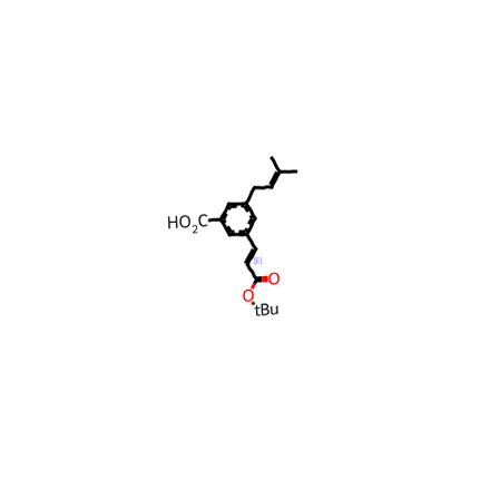 CC(C)=CCc1cc(/C=C/C(=O)OC(C)(C)C)cc(C(=O)O)c1